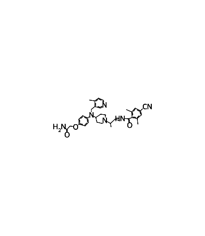 Cc1ccncc1CN(c1ccc(OCC(N)=O)cc1)C1CCN(C(C)CCNC(=O)c2c(C)cc(C#N)cc2C)CC1